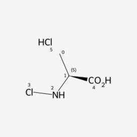 C[C@H](NCl)C(=O)O.Cl